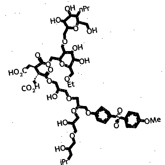 CCCC1C(CO)OC(COCC2C(COC(=O)[C@H](CC(=O)O)[C@@H](CC(=O)O)C(=O)OCC(O)COCC(COc3ccc(S(=O)(=O)c4ccc(OC)cc4)cc3)OCC(O)COCC(O)CC(C)C)OC(COCC)C(O)C2O)C(O)C1O